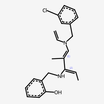 C=CN(/C=C(C)/C(=C/C)NCc1ccccc1O)Cc1cccc(Cl)c1